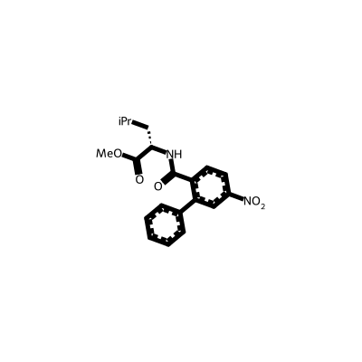 COC(=O)[C@H](CC(C)C)NC(=O)c1ccc([N+](=O)[O-])cc1-c1ccccc1